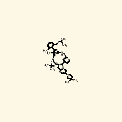 Cc1cccc(COC(C)C)c1-c1nc2nc(c1C)OC[C@@H](CC(C)(C)C)N(Cc1ncc(N3CCC(C)(C)C3)cn1)C(=O)c1cccc(c1)SN2